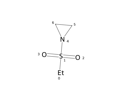 CCS(=O)(=O)N1CC1